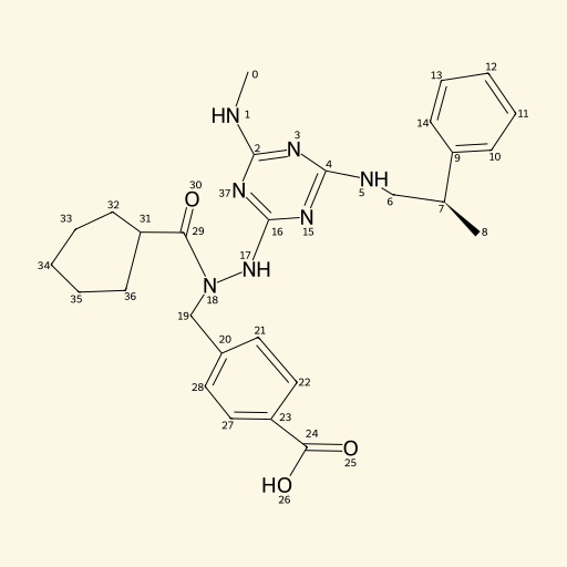 CNc1nc(NC[C@H](C)c2ccccc2)nc(NN(Cc2ccc(C(=O)O)cc2)C(=O)C2CCCCC2)n1